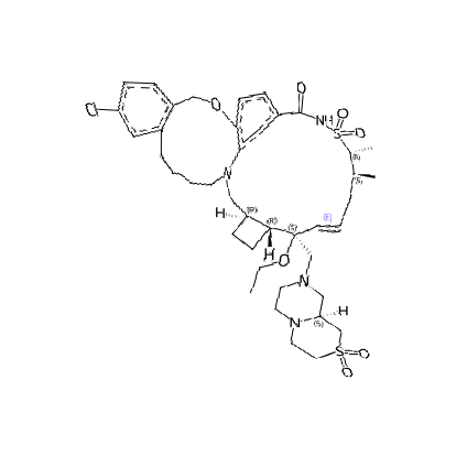 CCO[C@]1(CN2CCN3CCS(=O)(=O)C[C@@H]3C2)/C=C/C[C@H](C)[C@@H](C)S(=O)(=O)NC(=O)c2ccc3c(c2)N(CCCCc2cc(Cl)ccc2CO3)C[C@@H]2CC[C@H]21